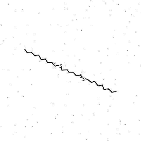 CCCCCCCCCSSCCCCCSSCCCCCCCCC